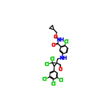 O=CC1(CNc2ccc(Cl)c(C(=O)NOCC3CC3)c2)C(c2cc(Cl)c(Cl)c(Cl)c2)C1(Cl)Cl